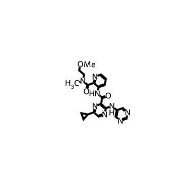 COCCN(C)C(=O)c1ncccc1NC(=O)c1nc(C2CC2)cnc1Nc1cncnc1